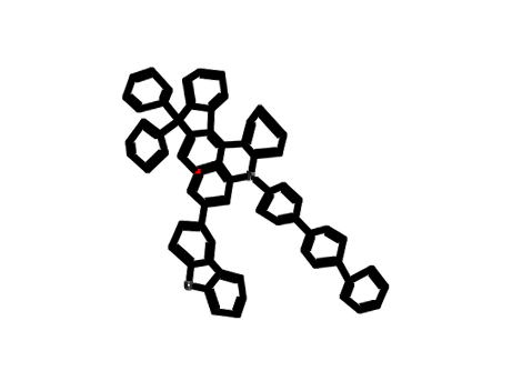 c1ccc(-c2ccc(-c3ccc(N(c4cccc(-c5ccc6oc7ccccc7c6c5)c4)c4ccccc4-c4cccc5c4-c4ccccc4C5(c4ccccc4)c4ccccc4)cc3)cc2)cc1